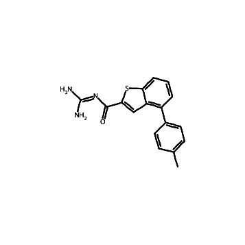 Cc1ccc(-c2cccc3sc(C(=O)N=C(N)N)cc23)cc1